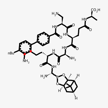 CCCCc1ccc(-c2ccc(C(=O)N[C@@H](CN)C(=O)N[C@@H](CCC(=O)N[C@H](C)C(=O)O)C(=O)N[C@@H](N)C(=O)N[C@@H](CCCCN)C(=O)N[C@@H](N)B3O[C@@H]4C[C@@H]5C[C@@H](C5(C)C)[C@]4(C)O3)cc2)cc1